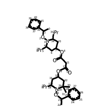 CC(ON1C(C(C)C)CC(OC(=O)CC(=O)OC2CC(C(C)C)N(OC(C)c3ccccc3)C(C)(C)C2)CC1C(C)C)c1ccccc1